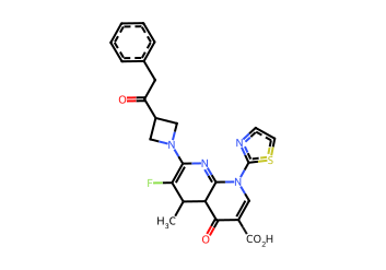 CC1C(F)=C(N2CC(C(=O)Cc3ccccc3)C2)N=C2C1C(=O)C(C(=O)O)=CN2c1nccs1